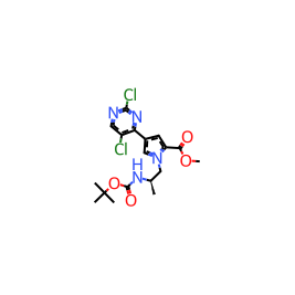 COC(=O)c1cc(-c2nc(Cl)ncc2Cl)cn1C[C@@H](C)NC(=O)OC(C)(C)C